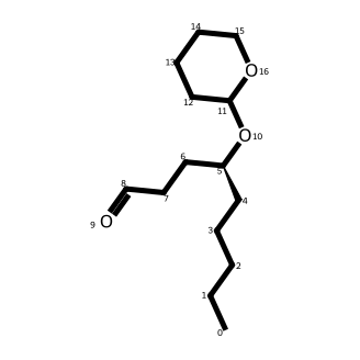 CCCCC[C@@H](CCC=O)OC1CCCCO1